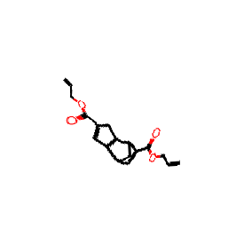 C=CCOC(=O)C1=CC2C3C=C(C(=O)OCC=C)C(C3)C2C1